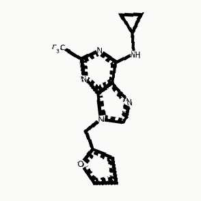 FC(F)(F)c1nc(NC2CC2)c2ncn(Cc3ccco3)c2n1